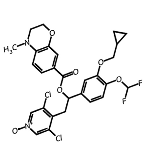 CN1CCOc2cc(C(=O)OC(Cc3c(Cl)c[n+]([O-])cc3Cl)c3ccc(OC(F)F)c(OCC4CC4)c3)ccc21